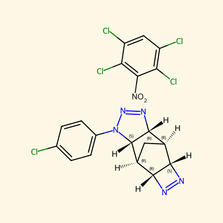 Clc1ccc(N2N=N[C@@H]3[C@@H]4C[C@@H]([C@H]5N=N[C@@H]45)[C@@H]32)cc1.O=[N+]([O-])c1c(Cl)c(Cl)cc(Cl)c1Cl